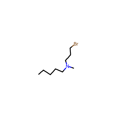 CCCCCN(C)CCCBr